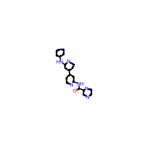 O=C(Nc1cc(-c2ccnc(Nc3ccccc3)c2)ccn1)c1cnccn1